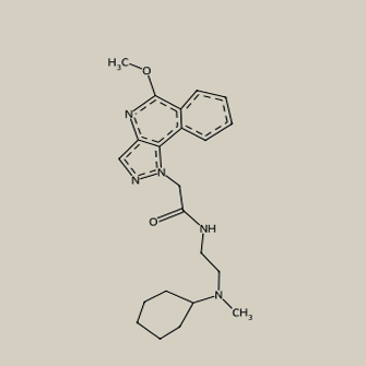 COc1nc2cnn(CC(=O)NCCN(C)C3CCCCC3)c2c2ccccc12